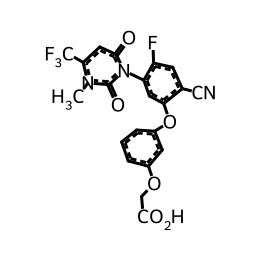 Cn1c(C(F)(F)F)cc(=O)n(-c2cc(Oc3cccc(OCC(=O)O)c3)c(C#N)cc2F)c1=O